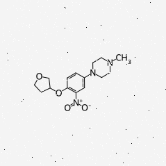 CN1CCN(c2ccc(OC3CCOC3)c([N+](=O)[O-])c2)CC1